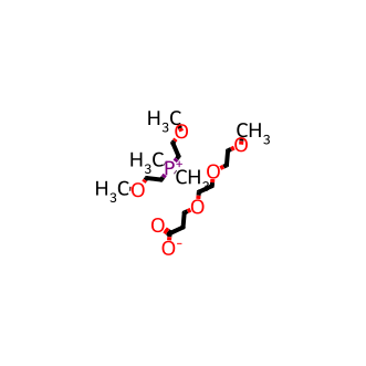 COCCOCCOCCC(=O)[O-].COCC[P+](C)(C)CCOC